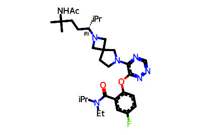 CCN(C(=O)c1cc(F)ccc1Oc1nncnc1N1CCC2(C1)CN([C@H](CCC(C)(C)NC(C)=O)C(C)C)C2)C(C)C